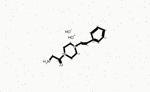 Cl.Cl.NCC(=O)N1CCN(C=Cc2ccccc2)CC1